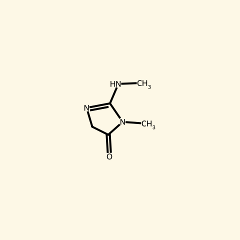 CNC1=NCC(=O)N1C